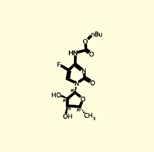 CCCCOC(=O)Nc1nc(=O)n([C@@H]2O[C@H](C)[C@@H](O)[C@H]2O)cc1F